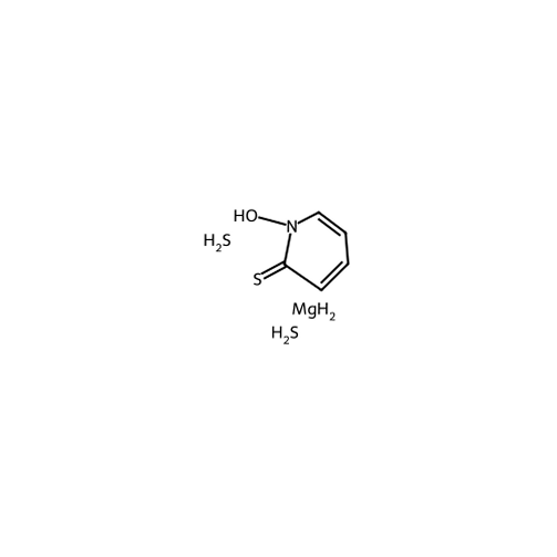 On1ccccc1=S.S.S.[MgH2]